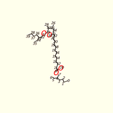 CCCCC(CC)COC(=O)CCCCCCCCCCCCCCC(C)C(C)C(=O)OCC(CC)CCCC